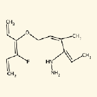 C=C/C(F)=C(\C=C)OC/C=C(C)\C(=C/C)NN